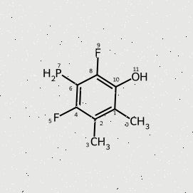 Cc1c(C)c(F)c(P)c(F)c1O